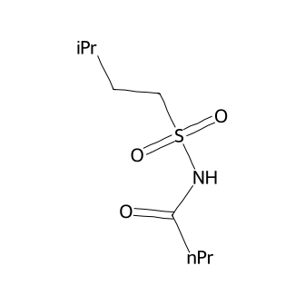 CCCC(=O)NS(=O)(=O)CCC(C)C